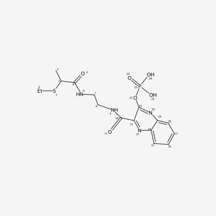 CCSC(C)C(=O)NCCNC(=O)c1nc2ccccc2nc1OP(=O)(O)O